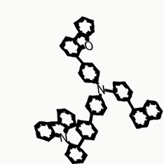 c1cc(-c2cccc3ccccc23)cc(N(c2ccc(-c3ccc(-c4ccccc4-n4c5ccccc5c5ccccc54)cc3)cc2)c2ccc(-c3cccc4c3oc3ccccc34)cc2)c1